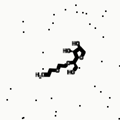 C=CCOCCO[C@H](CO)[C@H]1OC[C@H](O)[C@H]1O